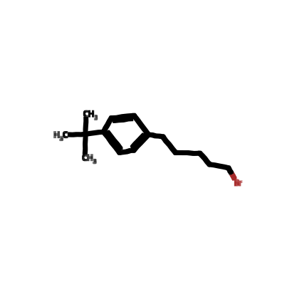 CC(C)(C)c1ccc(CCCCCBr)cc1